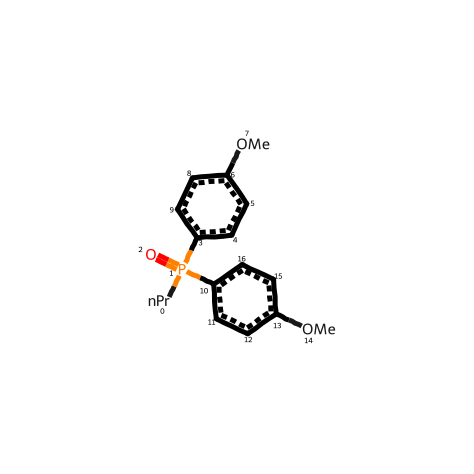 CCCP(=O)(c1ccc(OC)cc1)c1ccc(OC)cc1